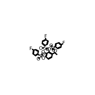 CC(=O)c1ccc(OS(=O)(=O)c2ccc(F)cc2)c(OS(=O)(=O)c2ccc(F)cc2)c1OS(=O)(=O)c1ccc(F)cc1